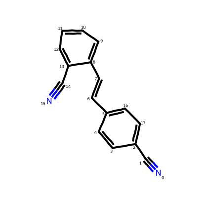 N#Cc1ccc(C=Cc2ccccc2C#N)cc1